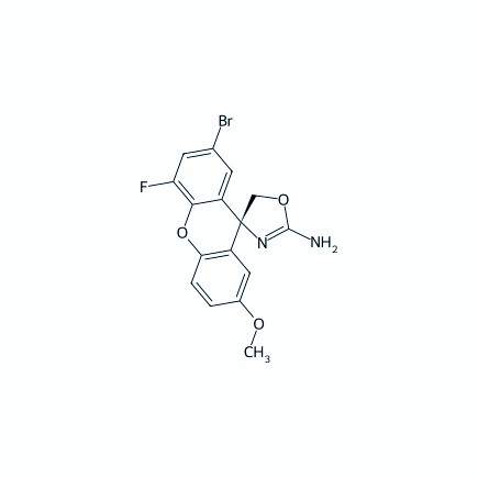 COc1ccc2c(c1)[C@]1(COC(N)=N1)c1cc(Br)cc(F)c1O2